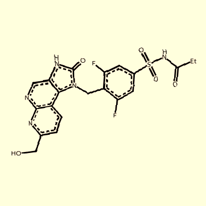 CCC(=O)NS(=O)(=O)c1cc(F)c(Cn2c(=O)[nH]c3cnc4nc(CO)ccc4c32)c(F)c1